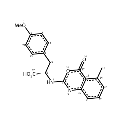 COc1ccc(C[C@H](Nc2nc3cccc(C)c3c(=O)o2)C(=O)O)cc1